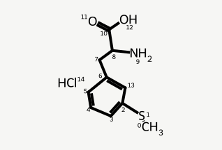 CSc1cccc(CC(N)C(=O)O)c1.Cl